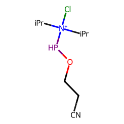 CC(C)[N+](Cl)(POCCC#N)C(C)C